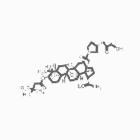 C=C(C)[C@@H]1CC[C@]2(CC(=O)N3CC[C@H](CC(=O)CO)C3)CC[C@]3(C)[C@H](CC[C@@H]4[C@@]5(C)CC[C@H](OC(=O)CC(C)(C)C(=O)O)C(C)(C)[C@@H]5CC[C@]43C)[C@@H]12